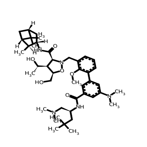 COc1c(CN2O[C@@H](CO)[C@@H]([C@H](C)O)[C@H]2C(=O)N[C@H]2C[C@H]3C[C@@H]([C@@H]2C)C3(C)C)cccc1-c1cc(C(=O)N[C@H](CN(C)C)CC(C)(C)C)cc(N(C)C)c1